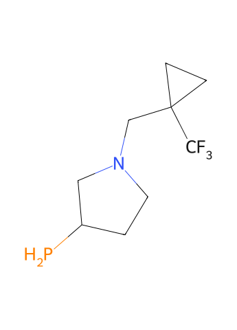 FC(F)(F)C1(CN2CCC(P)C2)CC1